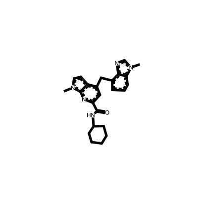 Cn1cnc2c(Cc3cc(C(=O)NC4CCCCC4)nc4c3ccn4C)cccc21